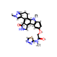 CCN(C(=O)COc1ccc2c(c1)c1c3c(c4c(c1n2CC)CCc1nn(C)cc1-4)C(=O)NC3)c1nncs1